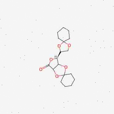 O=C1O[C@@H](C2COC3(CCCCC3)O2)C2OC3(CCCCC3)OC12